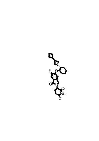 O=C1CCC(N2Cc3cc(O[C@@H]4CCCC[C@H]4N4CC(C5CCC5)C4)c(F)cc3C2=O)C(=O)N1